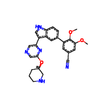 COc1cc(C#N)cc(-c2ccc3[nH]cc(-c4cncc(O[C@@H]5CCCNC5)n4)c3c2)c1OC